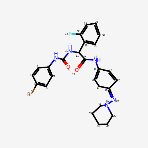 O=C(Nc1ccc(Br)cc1)NC(C(=O)NC1=CCC(=NN2CCCCC2)C=C1)c1ccccc1F